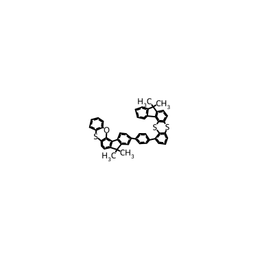 CC1(C)c2cc(-c3ccc(-c4cccc5c4Sc4c(ccc6c4-c4ccccc4C6(C)C)S5)cc3)ccc2-c2c1ccc1c2Oc2ccccc2S1